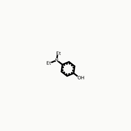 CCN(CC)c1ccc(O)cc1